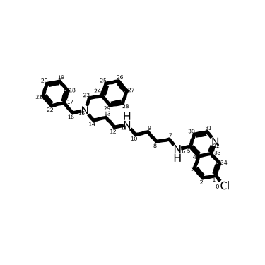 Clc1ccc2c(NCCCCNCCCN(Cc3ccccc3)Cc3ccccc3)ccnc2c1